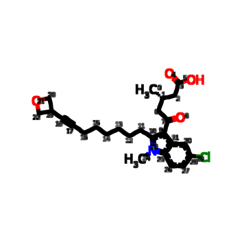 C[C@H](CC(=O)O)CC(=O)c1c(CCCCCCC#CC2COC2)n(C)c2ccc(Cl)cc12